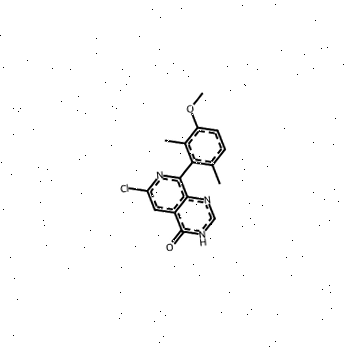 COc1ccc(C)c(-c2nc(Cl)cc3c(=O)[nH]cnc23)c1C